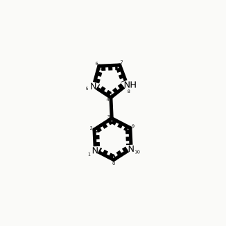 [c]1ncc(-c2ncc[nH]2)cn1